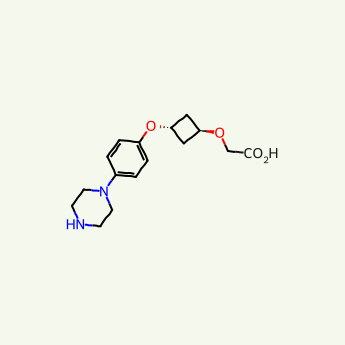 O=C(O)CO[C@H]1C[C@H](Oc2ccc(N3CCNCC3)cc2)C1